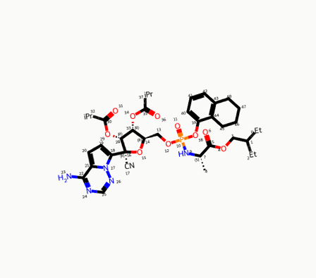 CCC(CC)COC(=O)[C@H](C)NP(=O)(OC[C@H]1O[C@@](C#N)(c2ccc3c(N)ncnn23)[C@H](OC(=O)C(C)C)[C@@H]1OC(=O)C(C)C)Oc1cccc2c1CCCC2